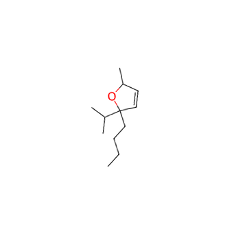 CCCCC1(C(C)C)C=CC(C)O1